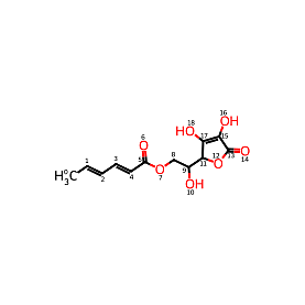 CC=CC=CC(=O)OCC(O)C1OC(=O)C(O)=C1O